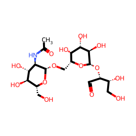 CC(=O)N[C@H]1[C@H](OC[C@H]2O[C@@H](O[C@@H](C=O)[C@H](O)CO)[C@H](O)[C@@H](O)[C@H]2O)O[C@H](CO)[C@@H](O)[C@@H]1O